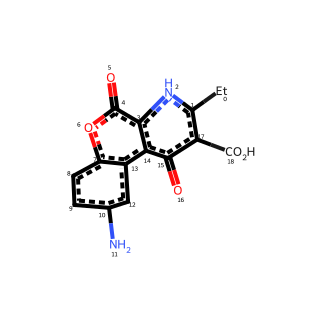 CCc1[nH]c2c(=O)oc3ccc(N)cc3c2c(=O)c1C(=O)O